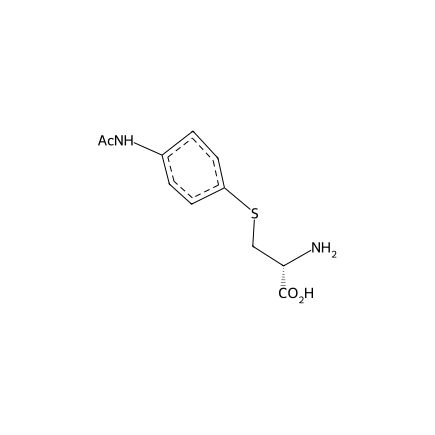 CC(=O)Nc1ccc(SC[C@H](N)C(=O)O)cc1